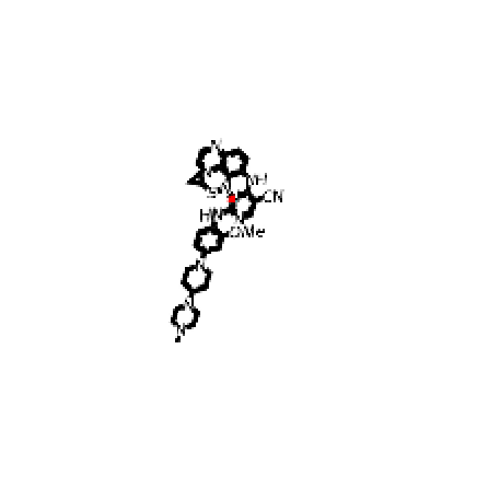 COc1cc(N2CCC(N3CCN(C)CC3)CC2)ccc1Nc1ncc(C#N)c(Nc2ccc3nccnc3c2N(C)SC2CC2)n1